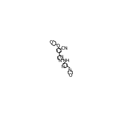 N#Cc1cc(-c2ccnc(Nc3cncc(CN4CCOCC4)c3)n2)ccc1OC1CCOCC1